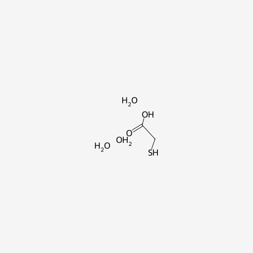 O.O.O.O=C(O)CS